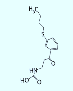 CCCCSc1cccc(C(=O)CCNC(=O)O)c1